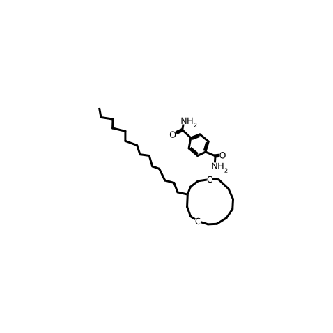 CCCCCCCCCCCCCCC1CCCCCCCCCCCCC1.NC(=O)c1ccc(C(N)=O)cc1